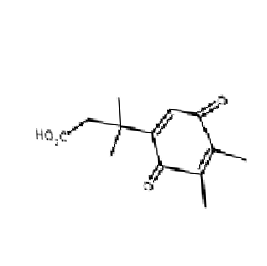 CC1=C(C)C(=O)C(C(C)(C)CC(=O)O)=CC1=O